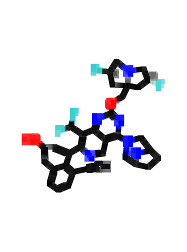 C#Cc1cccc2cc(O)cc(-c3ncc4c(N5CC6CCC(C5)N6)nc(OCC56C[C@@H](F)CN5C[C@H](F)C6)nc4c3C(F)F)c12